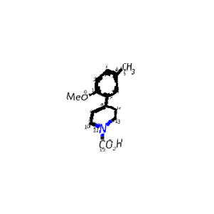 COc1ccc(C)cc1C1=CCN(C(=O)O)CC1